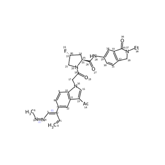 C=C/C(=C\N=N/C)c1ccc2c(c1)c(C(C)=O)cn2CC(=O)N1C[C@H](F)C[C@H]1C(=O)Nc1ccc2c(c1)C(=O)N(CC)C2